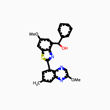 COc1cc(C(O)c2ccccc2)c2nc(-c3cc(C)cc4nc(OC)cnc34)sc2c1